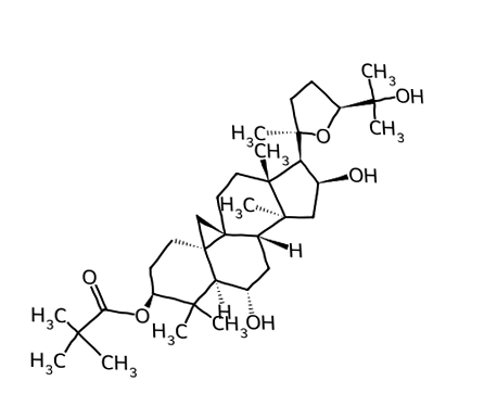 CC(C)(C)C(=O)O[C@H]1CC[C@]23C[C@]24CC[C@]2(C)[C@@H]([C@@]5(C)CC[C@@H](C(C)(C)O)O5)[C@@H](O)C[C@@]2(C)[C@@H]4C[C@H](O)[C@H]3C1(C)C